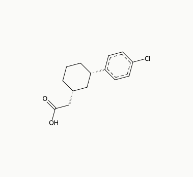 O=C(O)C[C@@H]1CCC[C@H](c2ccc(Cl)cc2)C1